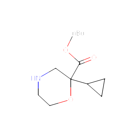 CCCCOC(=O)C1(C2CC2)CNCCO1